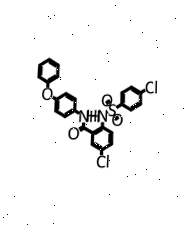 O=C(Nc1ccc(Oc2ccccc2)cc1)c1cc(Cl)ccc1NS(=O)(=O)c1ccc(Cl)cc1